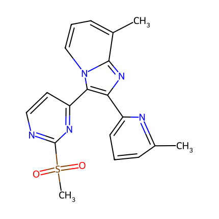 Cc1cccc(-c2nc3c(C)cccn3c2-c2ccnc(S(C)(=O)=O)n2)n1